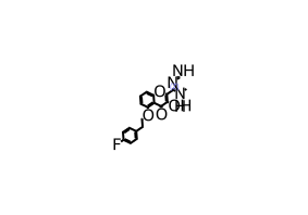 CN/C(=N\C=N)c1oc2cccc(OCCc3ccc(F)cc3)c2c(=O)c1O